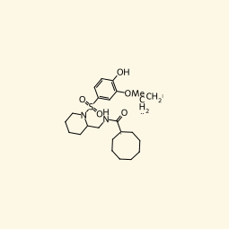 COc1cc(S(=O)(=O)N2CCCCC2CNC(=O)[C]2CCCCCCC2)ccc1O.[CH2].[CH2]